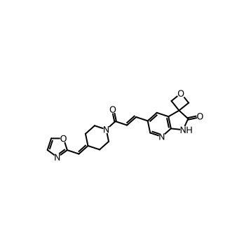 O=C(/C=C/c1cnc2c(c1)C1(COC1)C(=O)N2)N1CCC(=Cc2ncco2)CC1